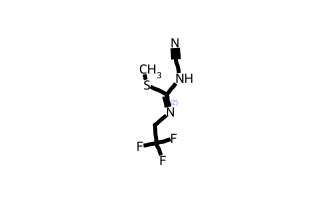 CS/C(=N\CC(F)(F)F)NC#N